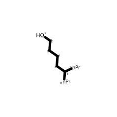 CCCC(CCC)CCCCO